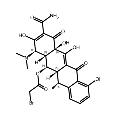 C[C@@H]1c2cccc(O)c2C(=O)C2=C(O)[C@@]3(O)C(=O)C(C(N)=O)=C(O)[C@H](N(C)C)[C@H]3[C@H](OC(=O)CBr)[C@H]21